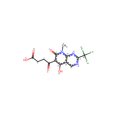 Cn1c(=O)c(C(=O)CCC(=O)O)c(O)c2cnc(C(F)(F)F)nc21